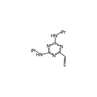 CC(C)Nc1nc(C=S)nc(NC(C)C)n1